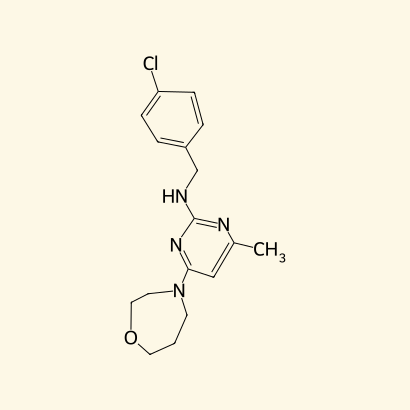 Cc1cc(N2CCCOCC2)nc(NCc2ccc(Cl)cc2)n1